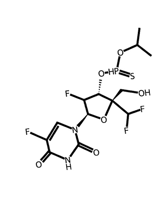 CC(C)O[PH](=S)O[C@H]1C(F)[C@H](n2cc(F)c(=O)[nH]c2=O)O[C@@]1(CO)C(F)F